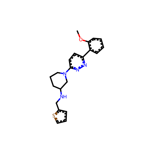 COc1ccccc1-c1ccc(N2CCCC(NCc3cccs3)C2)nn1